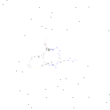 Nc1nc2sccc2c(=O)[nH]1